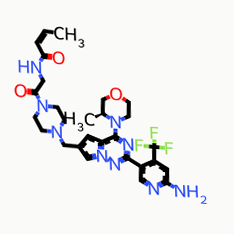 C/C=C\C(=O)NCC(=O)N1CCN(Cc2cc3c(N4CCOC[C@@H]4C)nc(-c4cnc(N)cc4C(F)(F)F)nn3c2)CC1